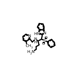 Cc1cccnc1CNC(CCCN)C(c1nc2ccccc2[nH]1)S(=O)(=O)c1ccccc1